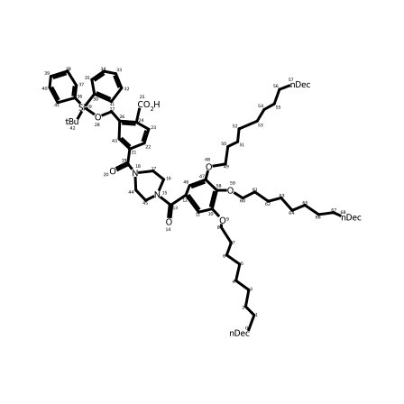 CCCCCCCCCCCCCCCCCCOc1cc(C(=O)N2CCN(C(=O)c3ccc(C(=O)O)c(CO[Si](c4ccccc4)(c4ccccc4)C(C)(C)C)c3)CC2)cc(OCCCCCCCCCCCCCCCCCC)c1OCCCCCCCCCCCCCCCCCC